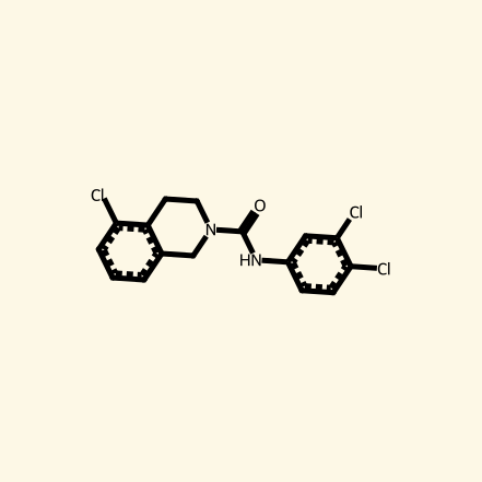 O=C(Nc1ccc(Cl)c(Cl)c1)N1CCc2c(Cl)cccc2C1